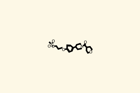 CS(=O)(=O)OCCCOc1ccc(C2CCN(C(=O)C3CCOCC3)CC2)cc1